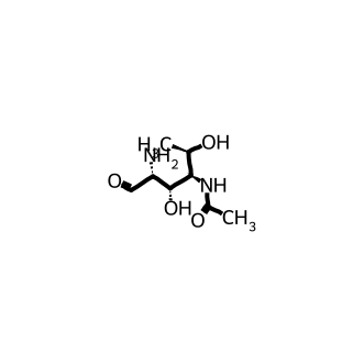 CC(=O)N[C@@H]([C@H](O)[C@@H](N)C=O)[C@@H](C)O